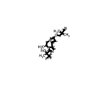 C[C@H]1Cn2nc(OCC(C)(C)C#N)cc2-c2cnc([C@@](C)(O)C(F)(F)F)n21